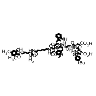 Cc1cc(C)c(C(=O)NCCCC[C@H](NC(=O)CCCCCNC(=O)[C@H](CCC(=O)O)NC(=O)[C@H](Cc2c[nH]c3ccccc23)NC(=O)[C@H](Cc2cccc(F)c2)NC(=O)CNC(=O)[C@H](CCC(=O)O)NC(=O)[C@@H](CC(=O)O)NS(=O)(=O)c2ccc(C(C)(C)C)cc2)C(N)=O)c(C)c1